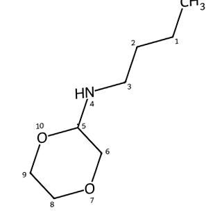 CCCCN[C]1COCCO1